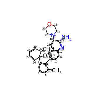 COC1(c2cccc(C)c2-c2ccc3nc(N)c(N4CCOCC4)cc3c2)C=CC=CC1C=O